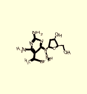 C=C(Br)c1c(N)nc(N)nc1N(N=N)[C@H]1C[C@@H](O)[C@@H](CO)O1